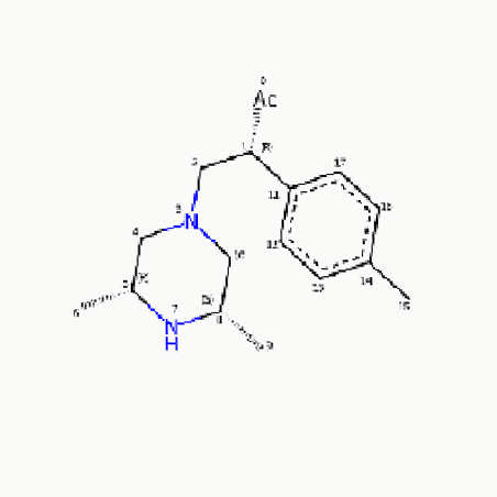 CC(=O)[C@@H](CN1C[C@@H](C)N[C@@H](C)C1)c1ccc(C)cc1